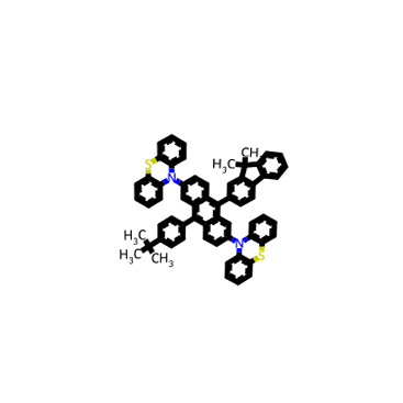 CC(C)(C)c1ccc(-c2c3ccc(N4c5ccccc5Sc5ccccc54)cc3c(-c3ccc4c(c3)C(C)(C)c3ccccc3-4)c3ccc(N4c5ccccc5Sc5ccccc54)cc23)cc1